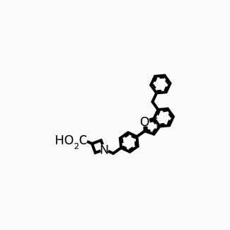 O=C(O)C1CN(Cc2ccc(-c3cc4cccc(Cc5ccccc5)c4o3)cc2)C1